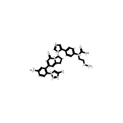 COCCN(C(=O)O)c1ccc(-c2cncn2[C@@H]2CCc3cc(-c4cc(C)ccc4-n4cc(Cl)nn4)cc(=O)n32)cc1